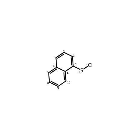 ClSc1cccc2ccccc12